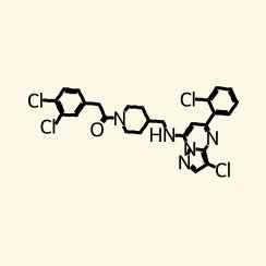 O=C(Cc1ccc(Cl)c(Cl)c1)N1CCC(CNc2cc(-c3ccccc3Cl)nc3c(Cl)cnn23)CC1